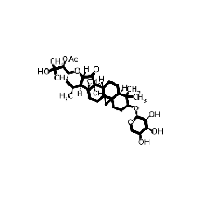 CC(=O)O[C@@H]([C@H]1C[C@@H](C)[C@H]2[C@H](O1)C(=O)[C@@]1(C)[C@@H]3CC[C@H]4C(C)(C)C(O[C@@H]5OCC(O)[C@H](O)[C@H]5O)CCC45C[C@@]35CC[C@]21C)C(C)(C)O